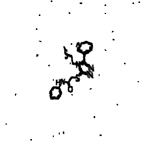 CSCCn1c(SCC(=O)Nc2ccccc2)nnc1-c1cccnc1